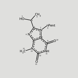 CCCCCn1c(C(C)O)nc2c1c(=O)[nH]c(=O)n2C